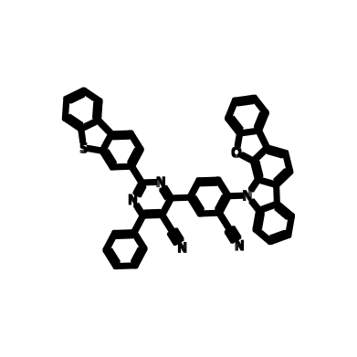 N#Cc1cc(-c2nc(-c3ccc4c(c3)sc3ccccc34)nc(-c3ccccc3)c2C#N)ccc1-n1c2ccccc2c2ccc3c4ccccc4oc3c21